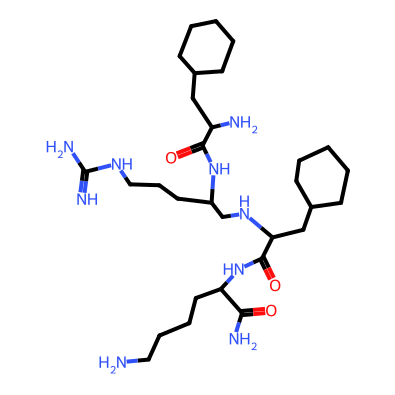 N=C(N)NCCCC(CNC(CC1CCCCC1)C(=O)NC(CCCCN)C(N)=O)NC(=O)C(N)CC1CCCCC1